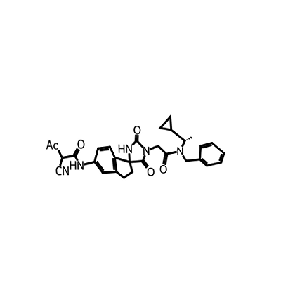 CC(=O)C(C#N)C(=O)Nc1ccc2c(c1)CCC21NC(=O)N(CC(=O)N(Cc2ccccc2)[C@@H](C)C2CC2)C1=O